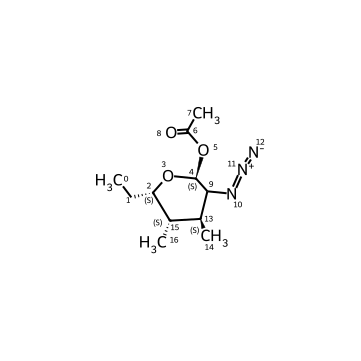 CC[C@@H]1O[C@@H](OC(C)=O)C(N=[N+]=[N-])[C@@H](C)[C@@H]1C